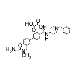 CN(Cc1cccc(-c2ccc(C(=O)NC3CCN(Cc4ccccc4)CC3)cc2)c1)C(=O)CN.O=C(O)C(=O)O